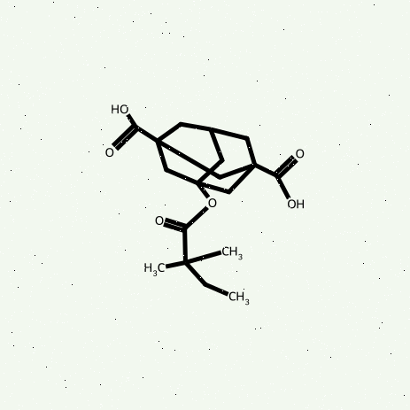 CCC(C)(C)C(=O)OC12CC3CC(C(=O)O)(C1)CC(C(=O)O)(C3)C2